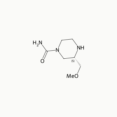 COC[C@@H]1CN(C(N)=O)CCN1